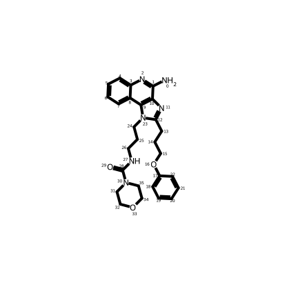 Nc1nc2ccccc2c2c1nc(CCCOc1ccccc1)n2CCCNC(=O)N1CCOCC1